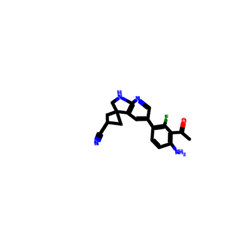 CC(=O)c1c(N)ccc(-c2cnc3c(c2)C2(CN3)CC(C#N)C2)c1F